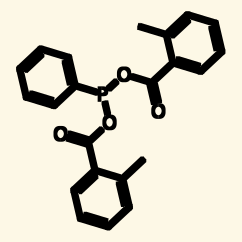 Cc1ccccc1C(=O)OP(OC(=O)c1ccccc1C)c1ccccc1